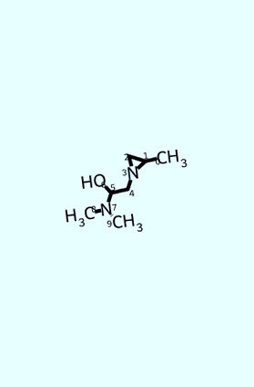 CC1CN1CC(O)N(C)C